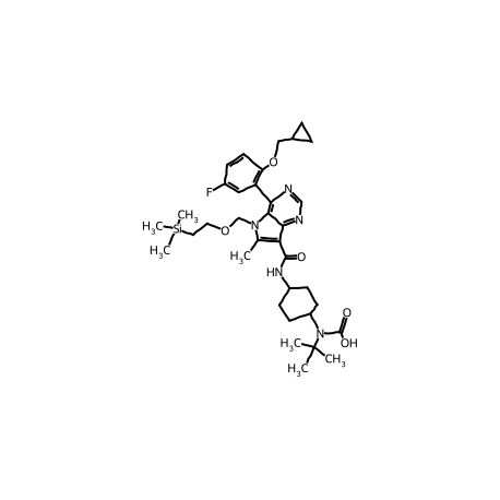 Cc1c(C(=O)NC2CCC(N(C(=O)O)C(C)(C)C)CC2)c2ncnc(-c3cc(F)ccc3OCC3CC3)c2n1COCC[Si](C)(C)C